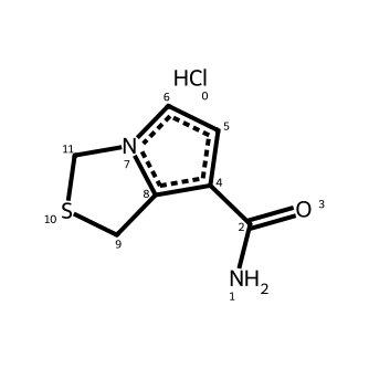 Cl.NC(=O)c1ccn2c1CSC2